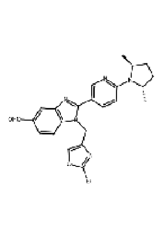 CCc1nc(Cn2c(-c3ccc(N4[C@@H](C)CC[C@@H]4C)nc3)nc3cc(C=O)ccc32)co1